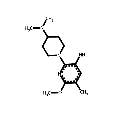 COc1nc(N2CCC(N(C)C)CC2)c(N)cc1C